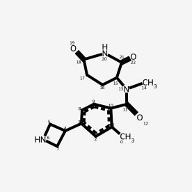 Cc1cc(C2CNC2)ccc1C(=O)N(C)C1CCC(=O)NC1=O